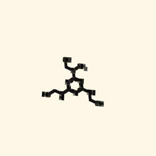 CN(CO)c1nc(NCO)nc(NCO)n1